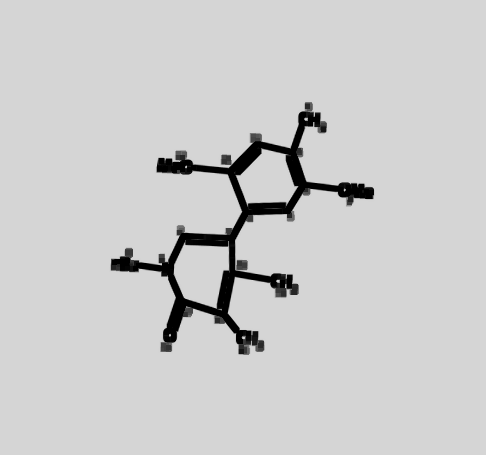 CCCCn1cc(-c2cc(OC)c(C)cc2OC)c(C)c(C)c1=O